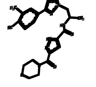 Cc1cc(-c2ccn(CC(C)NC(=O)c3cc(C(=O)N4CCOCC4)n[nH]3)n2)ccc1C#N